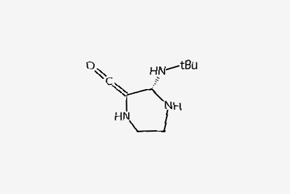 CC(C)(C)N[C@@H]1NCCNC1=C=O